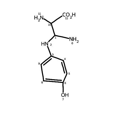 NC(Nc1ccc(O)cc1)C(N)C(=O)O